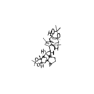 C[C@@H]1CC(CC2(C)[C@H]3C[C@@]4(C[C@H]5OC(C)(C)O[C@]35C)[C@H](C)CC[C@@H]24)[C@H]2C(C)(C)C3C[C@@]12C[C@@H]1OC(C)(C)O[C@@]31C